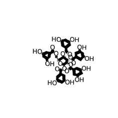 O=C(OC[C@H]1O[C@H](OC(=O)c2cc(O)cc(O)c2)[C@H](OC(=O)c2cc(O)cc(O)c2)[C@@H](OC(=O)c2cc(O)cc(O)c2)[C@@H]1OC(=O)c1cc(O)cc(O)c1)c1cc(O)cc(O)c1